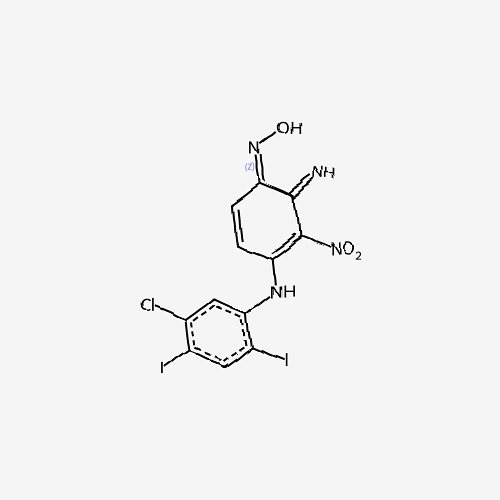 N=C1C([N+](=O)[O-])=C(Nc2cc(Cl)c(I)cc2I)C=C/C1=N/O